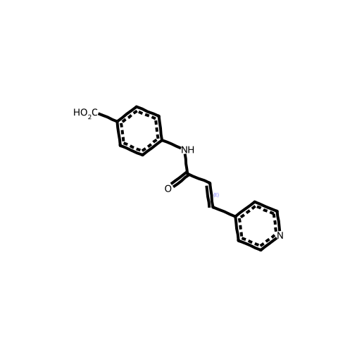 O=C(/C=C/c1ccncc1)Nc1ccc(C(=O)O)cc1